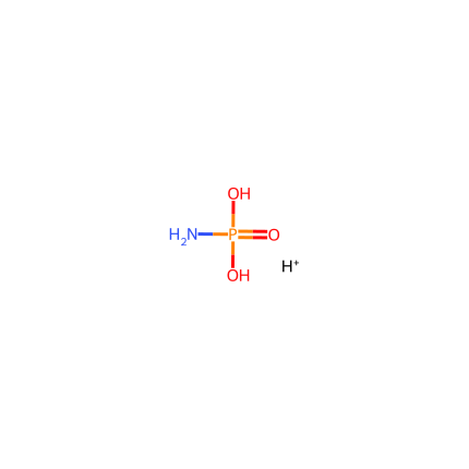 NP(=O)(O)O.[H+]